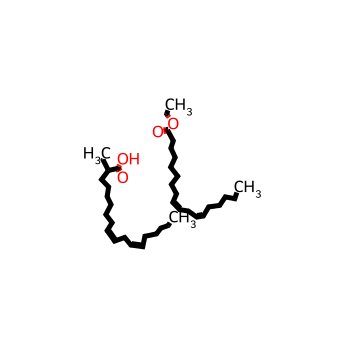 CCCCC/C=C\C/C=C\CCCCCCC(CC)C(=O)O.CCCCC/C=C\C/C=C\CCCCCCCC(=O)OCC